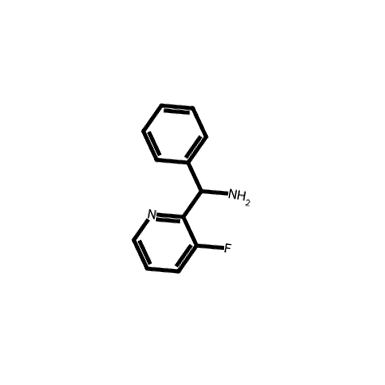 NC(c1ccccc1)c1ncccc1F